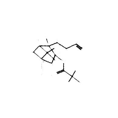 CC1(C)[C@H]2C[C@H](NC(=O)C(F)(F)F)[C@@H](CCC=O)[C@@H]1C2